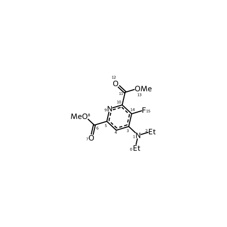 CCN(CC)c1cc(C(=O)OC)nc(C(=O)OC)c1F